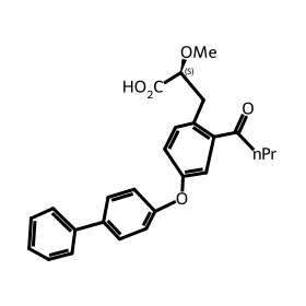 CCCC(=O)c1cc(Oc2ccc(-c3ccccc3)cc2)ccc1C[C@H](OC)C(=O)O